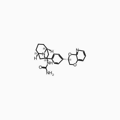 NC(=O)N[C@@H]1C[C@H]2CCC[C@@H](C1)N2Cc1ccc([C@H]2COc3cccnc3O2)cc1